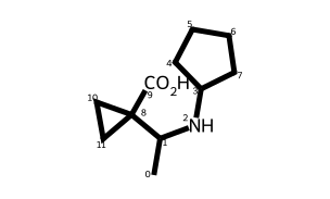 CC(NC1CCCC1)C1(C(=O)O)CC1